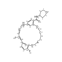 O=C(NC1CCOCC1)c1ccc2cc1OCCCCCCOc1cc(ccc1F)/C=C(F)/C=N\CN2